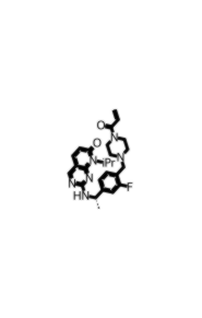 C=CC(=O)N1CCN(Cc2ccc([C@H](C)Nc3ncc4ccc(=O)n(C(C)C)c4n3)cc2F)CC1